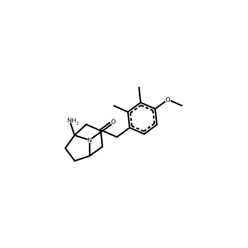 COc1ccc(CCN2C3CCC2(N)CC(=O)C3)c(C)c1C